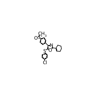 C[S+]([O-])c1ccc(-c2nc(C3=CCCCC3)oc2Sc2ccc(Cl)cc2)cc1